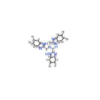 Cc1cc2nc(CN(Cc3nc4cc(C)c(C)cc4[nH]3)Cc3nc4cc(C)c(C)cc4[nH]3)[nH]c2cc1C